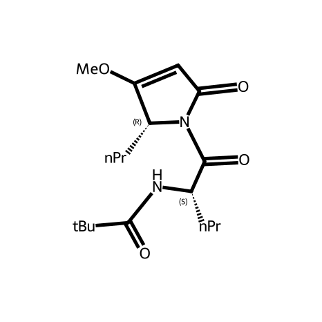 CCC[C@H](NC(=O)C(C)(C)C)C(=O)N1C(=O)C=C(OC)[C@H]1CCC